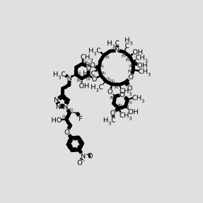 CO[C@]1(C)C[C@H](O[C@H]2[C@H](C)[C@@H](O[C@@H]3O[C@H](C)C[C@H](N(C)CCc4cn([C@H](CF)[C@H](O)COc5ccc([N+](=O)[O-])cc5)nn4)[C@H]3O)[C@](C)(O)C[C@@H](C)CN(C)[C@H](C)[C@@H](O)[C@](C)(O)[C@@H](C)OC(=O)[C@@H]2C)O[C@@H](C)[C@@H]1O